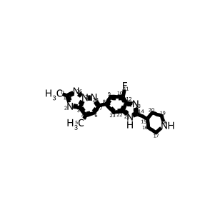 Cc1nc2c(C)cc(-c3cc(F)c4nc(C5CCNCC5)[nH]c4c3)nn2n1